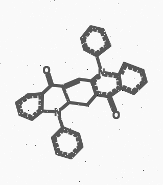 O=C1C2=Cc3c(c(=O)c4ccccc4n3-c3ccccc3)CC2N(c2ccccc2)c2ccccc21